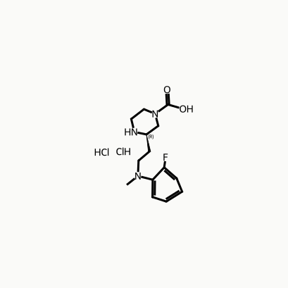 CN(CC[C@@H]1CN(C(=O)O)CCN1)c1ccccc1F.Cl.Cl